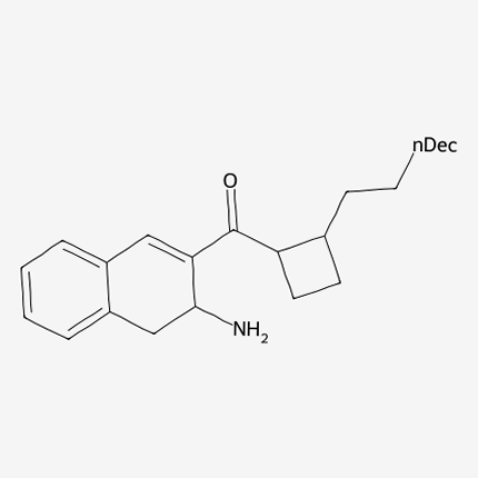 CCCCCCCCCCCCC1CCC1C(=O)C1=Cc2ccccc2CC1N